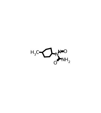 CC1CCC(N(N=O)C(N)=O)CC1